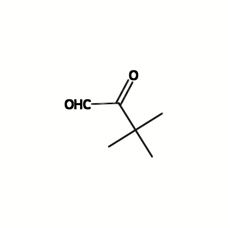 CC(C)(C)C(=O)C=O